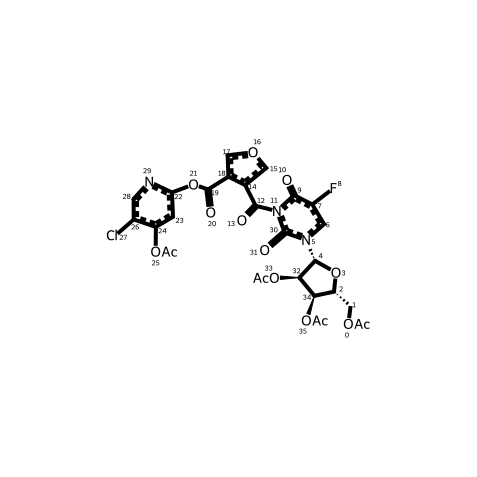 CC(=O)OC[C@H]1O[C@@H](n2cc(F)c(=O)n(C(=O)c3cocc3C(=O)Oc3cc(OC(C)=O)c(Cl)cn3)c2=O)[C@H](OC(C)=O)[C@@H]1OC(C)=O